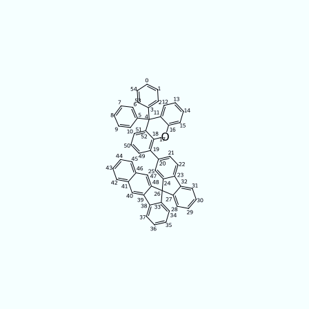 c1ccc(C2(c3ccccc3)c3ccccc3Oc3c(-c4ccc5c(c4)C4(c6ccccc6-5)c5ccccc5-c5cc6ccccc6cc54)cccc32)cc1